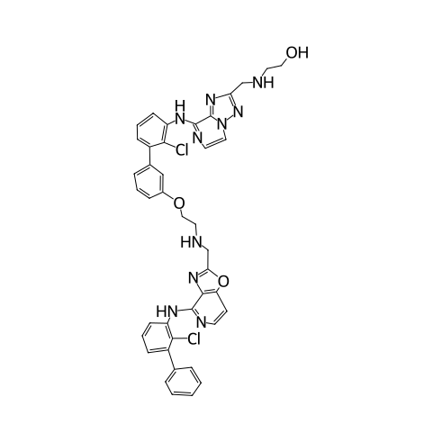 OCCNCc1nc2c(Nc3cccc(-c4cccc(OCCNCc5nc6c(Nc7cccc(-c8ccccc8)c7Cl)nccc6o5)c4)c3Cl)nccn2n1